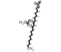 CCCCCCCCCCCCCCCCCCO[SH](=O)=O.CN(C)C